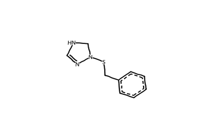 C1=NN(SCc2ccccc2)CN1